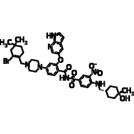 CC1(C)CCC(CN2CCN(c3ccc(C(=O)NS(=O)(=O)c4ccc(NC[C@H]5CC[C@@](C)(O)CC5)c([N+](=O)[O-])c4)c(Oc4cnc5[nH]ccc5c4)c3)CC2)=C(Br)C1